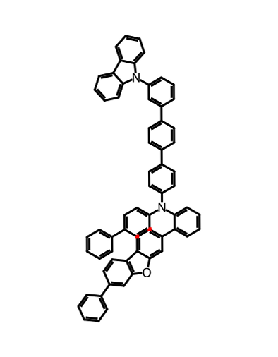 c1ccc(-c2ccc(N(c3ccc(-c4ccc(-c5cccc(-n6c7ccccc7c7ccccc76)c5)cc4)cc3)c3ccccc3-c3ccc4c(c3)oc3cc(-c5ccccc5)ccc34)cc2)cc1